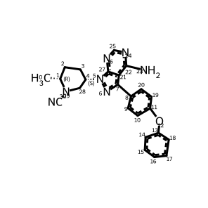 C[C@@H]1CC[C@H](n2nc(-c3ccc(Oc4ccccc4)cc3)c3c(N)ncnc32)CN1C#N